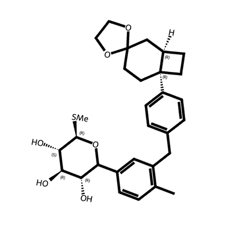 CS[C@H]1OC(c2ccc(C)c(Cc3ccc([C@@]45CC[C@@H]4CC4(CC5)OCCO4)cc3)c2)[C@H](O)[C@@H](O)[C@@H]1O